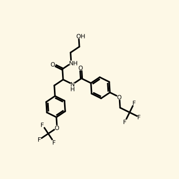 O=C(NC(Cc1ccc(OC(F)(F)F)cc1)C(=O)NCCO)c1ccc(OCC(F)(F)F)cc1